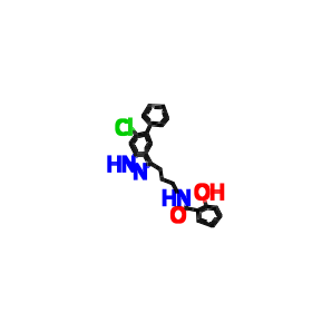 O=C(NCCCCc1n[nH]c2cc(Cl)c(-c3ccccc3)cc12)c1ccccc1O